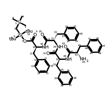 CC(C)(C)[Si](C[Si](C)(C)C)(OC(=O)[C@H](Cc1ccccc1)NC(=O)[C@H](Cc1ccccc1)NC(=O)[C@H](Cc1ccccc1)NC(=O)[C@@H](N)Cc1ccccc1)C(C)(C)C